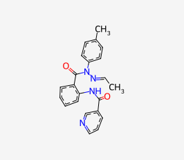 CC=NN(C(=O)c1ccccc1NC(=O)c1cccnc1)c1ccc(C)cc1